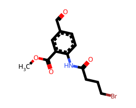 COC(=O)c1cc(C=O)ccc1NC(=O)CCCBr